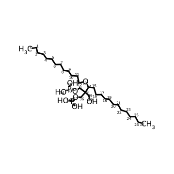 CCCCCCCCCCCCCOC(CCCCCCCCCCCCC)C(CO)(COP(O)O)COP(O)O